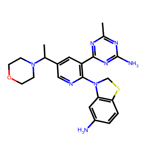 Cc1nc(N)nc(-c2cc(C(C)N3CCOCC3)cnc2N2CSc3ccc(N)cc32)n1